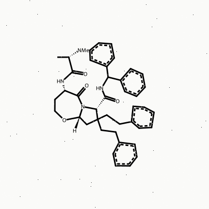 CN[C@@H](C)C(=O)N[C@H]1CCO[C@H]2CC(CCc3ccccc3)(CCc3ccccc3)[C@@H](C(=O)NC(c3ccccc3)c3ccccc3)N2C1=O